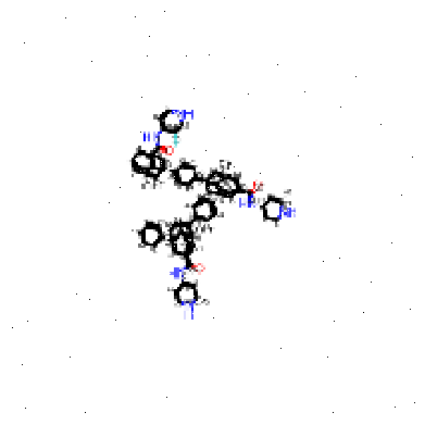 CCC[C@]12CC3CC(C(=O)N[C@H]4CCNC[C@@H]4F)(C1)C[C@@](c1ccc(C45CC6(C(=O)N[C@H]7CCN[C@@H](C)C7)C[C@](CC)(C4)C[C@@](c4ccc(C7C8CC9(C(=O)N[C@H]%10CCN[C@@H](C)C%10)C[C@@](c%10ccccc%10)(C8)C[C@]7(CCC)C9)cc4)(C6)C5)cc1)(C3)C2